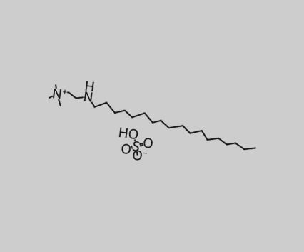 CCCCCCCCCCCCCCCCCCNCC[N+](C)(C)C.O=S(=O)([O-])O